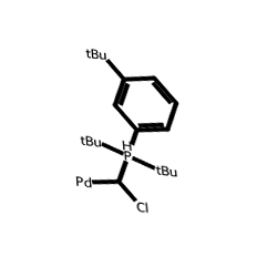 CC(C)(C)c1cccc([PH]([CH](Cl)[Pd])(C(C)(C)C)C(C)(C)C)c1